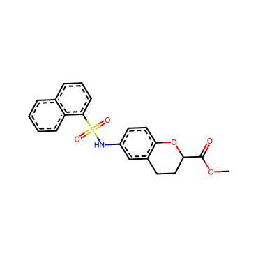 COC(=O)C1CCc2cc(NS(=O)(=O)c3cccc4ccccc34)ccc2O1